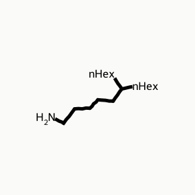 CCCCCCC(CCCCCC)CCCCCN